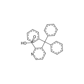 O=C(O)c1ncccc1C(c1ccccc1)(c1ccccc1)c1ccccc1